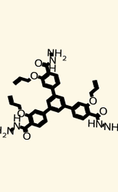 C=CCOc1cc(-c2cc(-c3ccc(C(=O)NN)c(OCC=C)c3)cc(-c3ccc(C(=O)NN)c(OCC=C)c3)c2)ccc1C(=O)NN